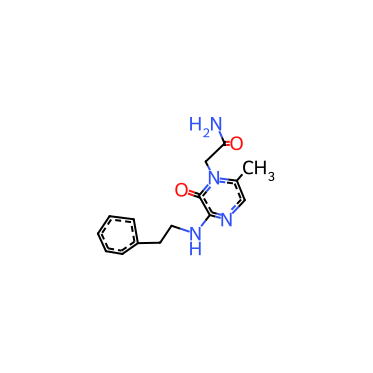 Cc1cnc(NCCc2ccccc2)c(=O)n1CC(N)=O